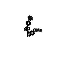 COc1ccc(C)c(Nc2ncc(-c3ccc(-n4cccn4)cc3)o2)c1